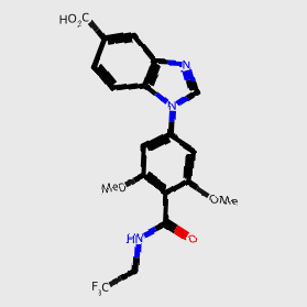 COc1cc(-n2cnc3cc(C(=O)O)ccc32)cc(OC)c1C(=O)NCC(F)(F)F